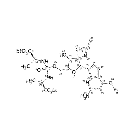 CCOC(=O)[C@H](C)NP(=O)(N[C@H](C)C(=O)OCC)OC[C@H]1O[C@@H](n2cnc3c(OCC)nc(N)nc32)[C@](C)(N=[N+]=[N-])[C@@H]1O